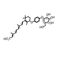 CC1=C(/C=C/C(C)=C/C=C/C(C)=C/C(=O)O)C(C)(C)CCC1Oc1ccc(O[C@@H]2O[C@H](CO)[C@@H](O)[C@H](O)[C@H]2O)cc1